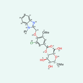 COc1cc(C(=O)O[C@H]2[C@H](O)[C@@H](O)[C@@H](OC)O[C@@H]2CO)cc(Cl)c1OCc1nc2ccccc2n1C(C)C